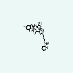 Cc1cc(C)c(S(=O)(=O)[C@H](C(=O)c2nnc(CCCCNc3ccccn3)s2)C(N)(N)C(=O)O)c(C)c1